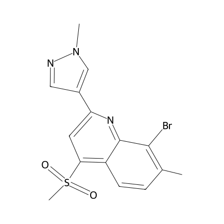 Cc1ccc2c(S(C)(=O)=O)cc(-c3cnn(C)c3)nc2c1Br